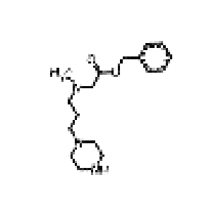 CN(CCCN1CCNCC1)CC(=O)OCc1ccccc1